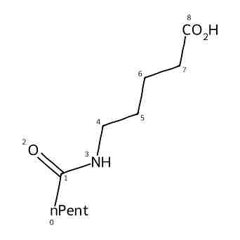 CCCCCC(=O)NCCCCC(=O)O